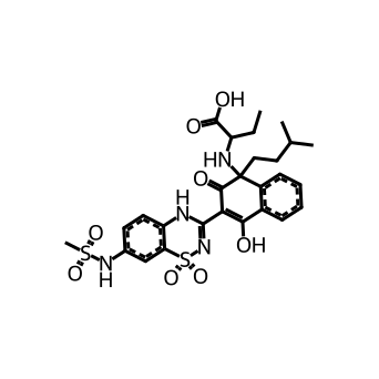 CCC(NC1(CCC(C)C)C(=O)C(C2=NS(=O)(=O)c3cc(NS(C)(=O)=O)ccc3N2)=C(O)c2ccccc21)C(=O)O